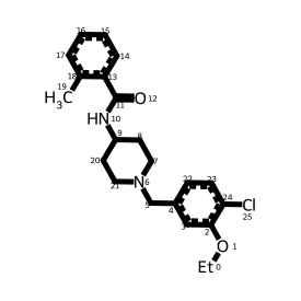 CCOc1cc(CN2CCC(NC(=O)c3ccccc3C)CC2)ccc1Cl